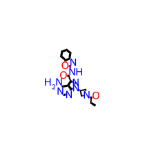 C=CC(=O)N1CC(n2nc(C(=O)Nc3nc4ccccc4o3)c3c(N)ncnc32)C1